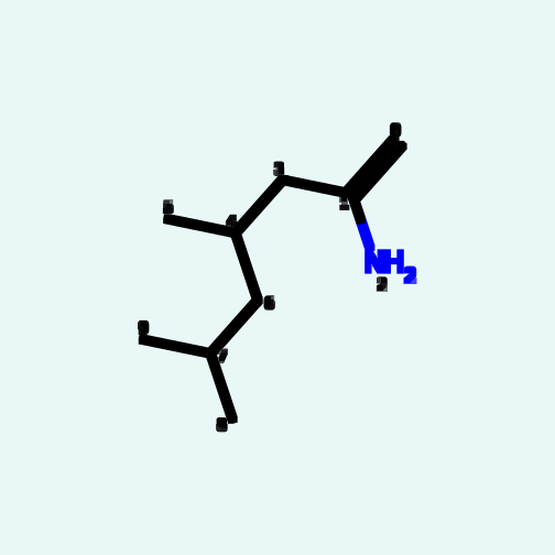 C=C(N)CC(C)CC(C)C